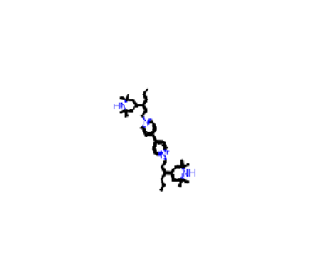 CCCC(CC[n+]1ccc(-c2cc[n+](CCC(CCC)C3CC(C)(C)NC(C)(C)C3)cc2)cc1)C1CC(C)(C)NC(C)(C)C1